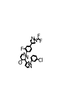 O=c1ccn(-c2ccc(-c3cnn(C(F)F)c3)cc2F)nc1-c1ccnn1-c1cccc(Cl)c1